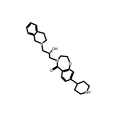 O=C1c2ccc(C3CCNCC3)cc2OCCN1C[C@H](O)CN1CCc2ccccc2C1